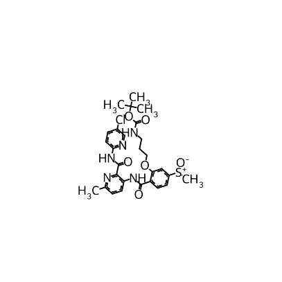 Cc1ccc(NC(=O)c2ccc([S+](C)[O-])cc2OCCCNC(=O)OC(C)(C)C)c(C(=O)Nc2ccc(Cl)cn2)n1